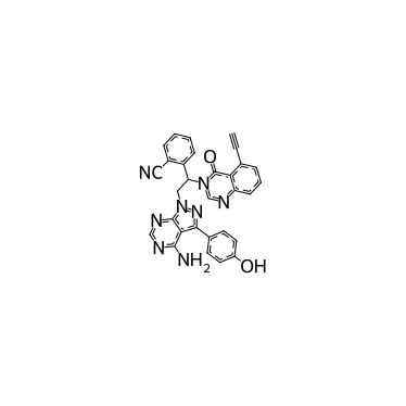 C#Cc1cccc2ncn(C(Cn3nc(-c4ccc(O)cc4)c4c(N)ncnc43)c3ccccc3C#N)c(=O)c12